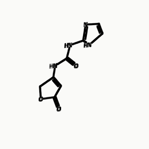 O=C(NC1=CC(=O)OC1)Nc1ncc[nH]1